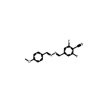 COc1ccc(/C=N/N=C/c2cc(F)c(C#N)c(F)c2)cc1